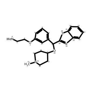 CNCCOc1cccc(C(OC2CCN(C)CC2)c2nc3ccccc3s2)c1